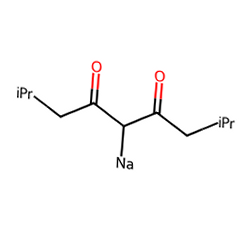 CC(C)CC(=O)[CH]([Na])C(=O)CC(C)C